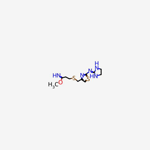 COC(=N)CCSCc1csc(N=C2NCCN2)n1